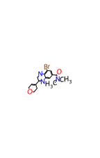 CN(C)C(=O)c1cc(Br)c2ncc(C3=CCOCC3)nc2c1